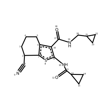 N#CC1CCCc2c1sc(NC(=O)C1CC1)c2C(=O)NCC1CC1